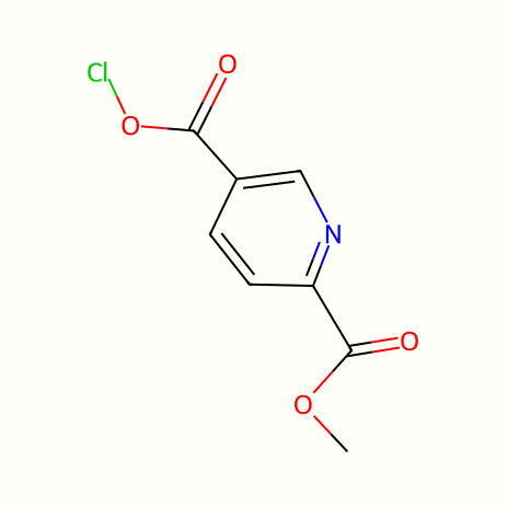 COC(=O)c1ccc(C(=O)OCl)cn1